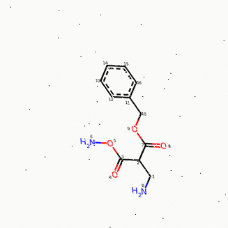 NCC(C(=O)ON)C(=O)OCc1ccccc1